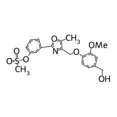 COc1cc(CO)ccc1OCc1nc(-c2cccc(OS(C)(=O)=O)c2)oc1C